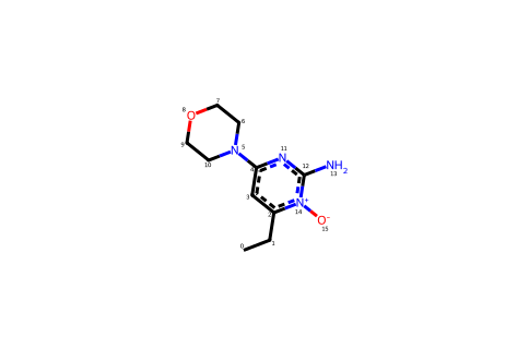 CCc1cc(N2CCOCC2)nc(N)[n+]1[O-]